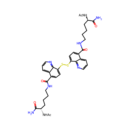 CC(=O)N[C@@H](CCCCNC(=O)c1ccc(SSc2ccc(C(=O)NCCCC[C@@H](NC(C)=O)C(N)=O)c3cccnc23)c2ncccc12)C(N)=O